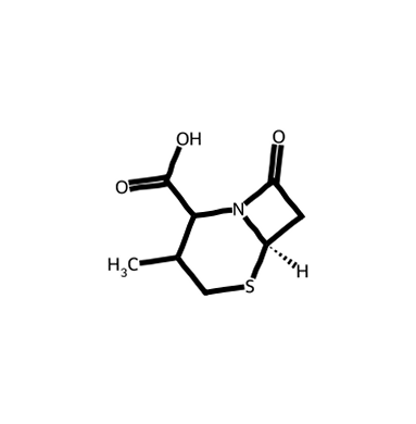 CC1CS[C@@H]2CC(=O)N2C1C(=O)O